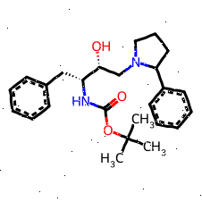 CC(C)(C)OC(=O)N[C@H](Cc1ccccc1)[C@H](O)CN1CCCC1c1ccccc1